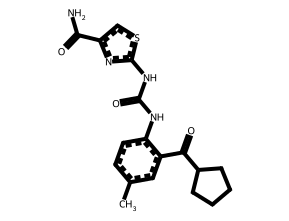 Cc1ccc(NC(=O)Nc2nc(C(N)=O)cs2)c(C(=O)C2CCCC2)c1